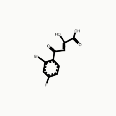 O=C(O)/C(O)=C/C(=O)c1ccc(F)cc1Br